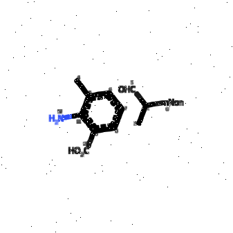 CCCCCCCCCC(C)C=O.Cc1cccc(C(=O)O)c1N